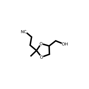 CC1(CCC#N)OCC(CO)O1